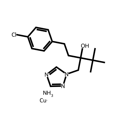 CC(C)(C)C(O)(CCc1ccc(Cl)cc1)Cn1cncn1.N.[Cu]